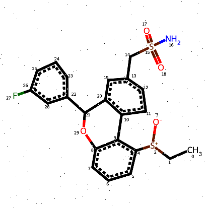 CC[S+]([O-])c1cccc2c1-c1ccc(CS(N)(=O)=O)cc1C(c1cccc(F)c1)O2